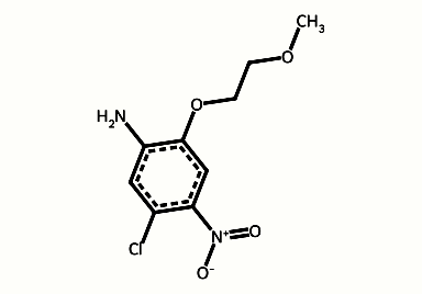 COCCOc1cc([N+](=O)[O-])c(Cl)cc1N